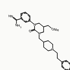 COCC1CN(CC2CCN(CCc3ccccc3)CC2)C(=O)N(c2cccc(C(=N)N)c2)C1